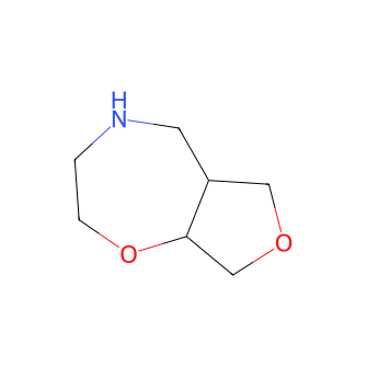 C1COC2COCC2CN1